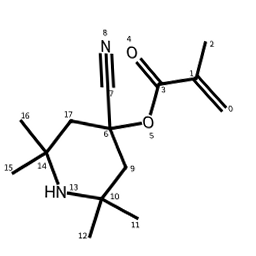 C=C(C)C(=O)OC1(C#N)CC(C)(C)NC(C)(C)C1